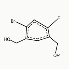 OCc1cc(CO)c(Br)cc1F